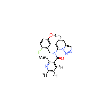 [2H]c1nc(OC)c(C(=O)N(Cc2cc(OC(F)(F)F)ccc2F)c2cccc3cnnn23)c([2H])c1[2H]